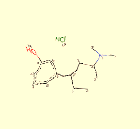 CCC(CC(C)N(C)C)c1cccc(O)c1.Cl